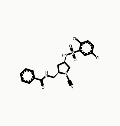 N#CN1C[C@H](NS(=O)(=O)c2cc(Cl)ccc2Cl)C[C@@H]1CNC(=O)c1ccccc1